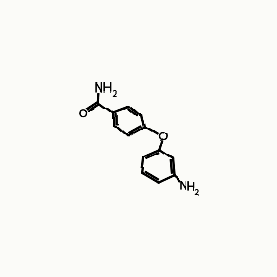 NC(=O)c1ccc(Oc2cccc(N)c2)cc1